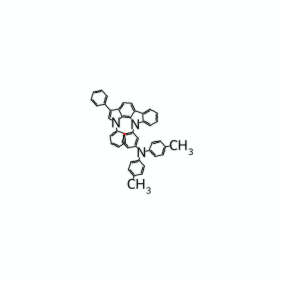 Cc1ccc(N(c2ccc(C)cc2)c2cccc(-n3c4ccccc4c4ccc5c(-c6ccccc6)cn(-c6ccccc6)c5c43)c2)cc1